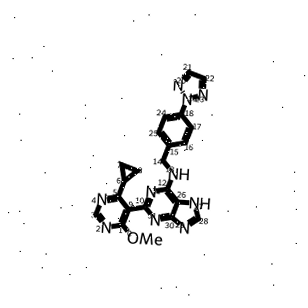 COc1ncnc(C2CC2)c1-c1nc(NCc2ccc(-n3nccn3)cc2)c2[nH]cnc2n1